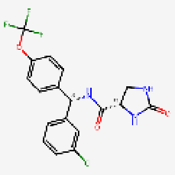 O=C1NC[C@@H](C(=O)N[C@@H](c2ccc(OC(F)(F)F)cc2)c2cccc(Cl)c2)N1